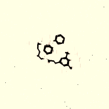 CC(CCC(C)(C)C)CN(C(=O)CCc1cc(C(C)(C)C)c(O)c(C(C)(C)C)c1)c1ccc(Nc2ccccc2)cc1